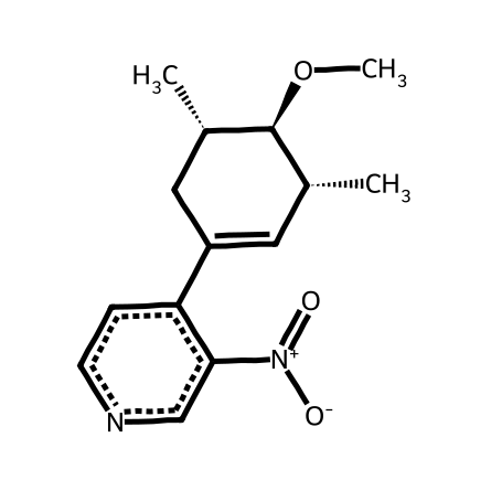 CO[C@H]1[C@H](C)C=C(c2ccncc2[N+](=O)[O-])C[C@@H]1C